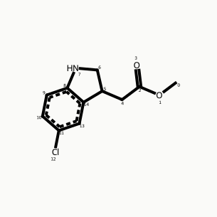 COC(=O)CC1CNc2ccc(Cl)cc21